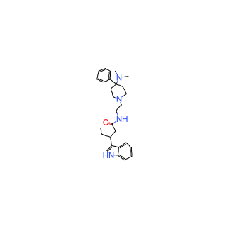 CCC(CC(=O)NCCN1CCC(c2ccccc2)(N(C)C)CC1)c1c[nH]c2ccccc12